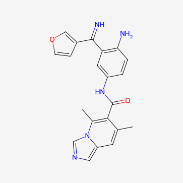 Cc1cc2cncn2c(C)c1C(=O)Nc1ccc(N)c(C(=N)c2ccoc2)c1